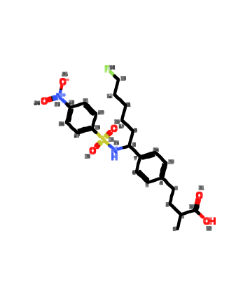 CC(CCc1ccc(C(CCCCCF)NS(=O)(=O)c2ccc([N+](=O)[O-])cc2)cc1)C(=O)O